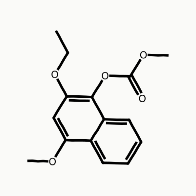 CCOc1cc(OC)c2ccccc2c1OC(=O)OC